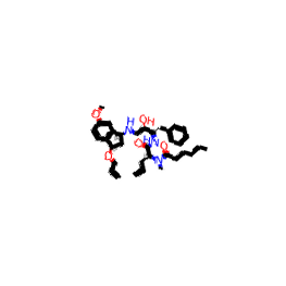 C=CCO[C@@H]1C[C@H](NC[C@H](O)[C@H](Cc2ccccc2)NC(=O)[C@H](CC=C)N(C)C(=O)CCCCC)c2cc(OC)ccc21